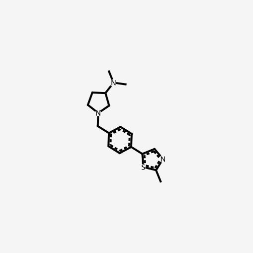 Cc1ncc(-c2ccc(CN3CCC(N(C)C)C3)cc2)s1